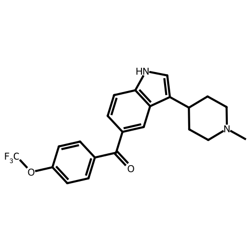 CN1CCC(c2c[nH]c3ccc(C(=O)c4ccc(OC(F)(F)F)cc4)cc23)CC1